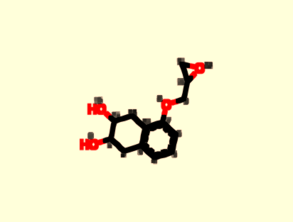 OC1Cc2cccc(OCC3CO3)c2CC1O